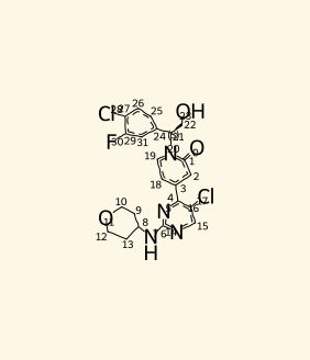 O=c1cc(-c2nc(NC3CCOCC3)ncc2Cl)ccn1[C@H](CO)c1ccc(Cl)c(F)c1